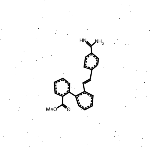 COC(=O)c1ccccc1-c1ccccc1/C=C/c1ccc(C(=N)N)cc1